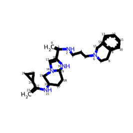 C=C(NCCCN1CCc2ccccc2C1)C1=CN2CC(NC(=C)C3CC3)CCC2N1